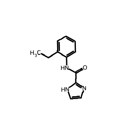 CCc1ccccc1NC(=O)c1ncc[nH]1